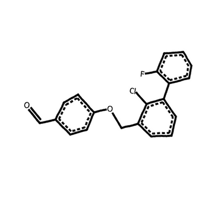 O=Cc1ccc(OCc2cccc(-c3ccccc3F)c2Cl)cc1